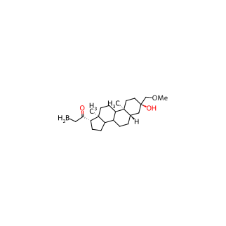 BCC(=O)[C@H]1CCC2C3CC[C@H]4C[C@@](O)(COC)CC[C@]4(C)C3CC[C@@]21C